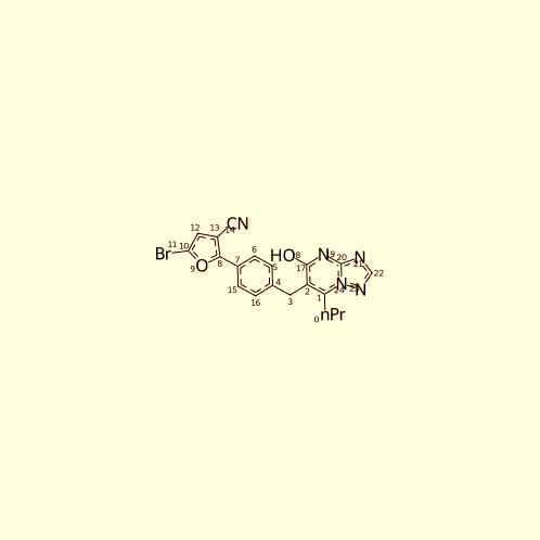 CCCc1c(Cc2ccc(-c3oc(Br)cc3C#N)cc2)c(O)nc2ncnn12